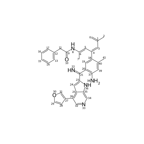 C=C(C)/C=C(\C=C(/C)NC(=O)Cc1ccccc1)c1cc(C(=N)c2cc3c(-c4ccoc4)cncc3[nH]2)c(N)cc1C